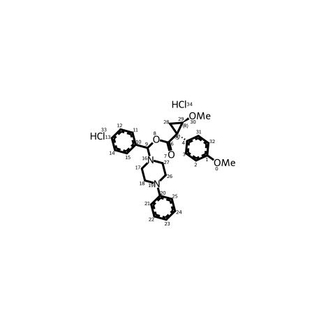 COc1ccc([C@]2(C(=O)OC(c3ccccc3)N3CCN(c4ccccc4)CC3)C[C@H]2OC)cc1.Cl.Cl